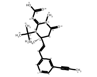 CC#Cc1cncc(C=C[C@]2(C)CC(=O)N(C)C(=NC(=O)O)N2C(C)(C)C)c1